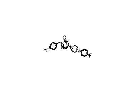 COc1ccc(Cn2ncc(N3CCN(c4ccc(F)cc4)CC3)nc2=O)cc1